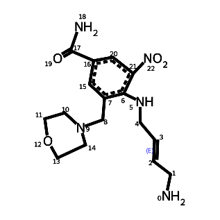 NC/C=C/CNc1c(CN2CCOCC2)cc(C(N)=O)cc1[N+](=O)[O-]